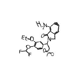 CCOc1cc(C(CS(C)(=O)=O)N2Cc3cccc(N)c3C2=O)ccc1OC(F)F